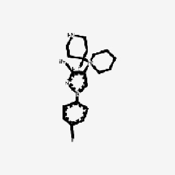 CC(C)c1nn(-c2ccc(F)cc2)cc1[N+]1(C2(C)CCNCC2)CCCCC1